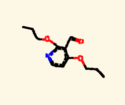 CCCOc1ccnc(OCCC)c1C=O